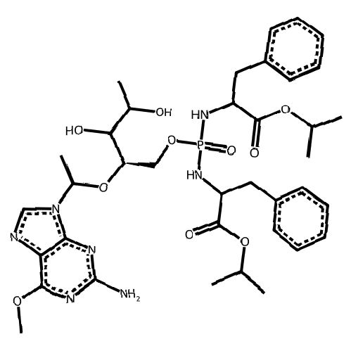 COc1nc(N)nc2c1ncn2C(C)O[C@H](COP(=O)(NC(Cc1ccccc1)C(=O)OC(C)C)NC(Cc1ccccc1)C(=O)OC(C)C)C(O)C(C)O